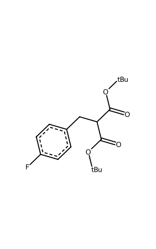 CC(C)(C)OC(=O)C(Cc1ccc(F)cc1)C(=O)OC(C)(C)C